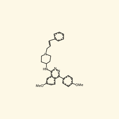 COc1ccc(-c2nnc(NC3CCN(CC=Cc4ccccc4)CC3)c3cc(OC)ccc23)cc1